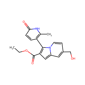 CCOC(=O)c1cc2cc(CO)ccn2c1-c1ccc(=O)[nH]c1C